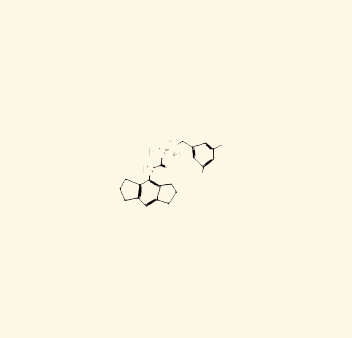 O=C(Nc1c2c(cc3c1CCC3)CCC2)NS(=O)(=O)Cc1cc(Cl)cc(Cl)c1